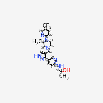 CC(O)CNc1ccc(-c2n[nH]cc2CN2CCN(c3ccc(C(F)(F)F)cn3)[C@H](C)C2)cn1